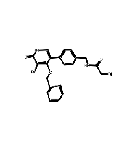 O=C(CO)NCc1ccc(-c2c[nH]c(=O)c(Br)c2OCc2ccccc2)cc1